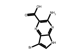 Nc1nc2[nH]cc(Br)c2nc1C(=O)O